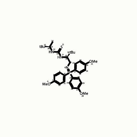 COc1ccc(P(=NC[C@@H](NC(=S)N[C@H](C)C(C)(C)C)C(C)(C)C)(c2ccc(OC)cc2)c2ccc(OC)cc2)cc1